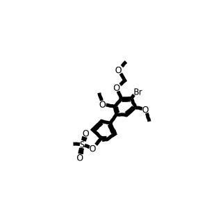 COCOc1c(Br)c(OC)cc(-c2ccc(OS(C)(=O)=O)cc2)c1OC